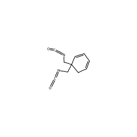 O=C=NCC1(CN=C=O)C=CC=CC1